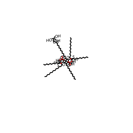 CCCCCCCCCCCCC(CC(O)=S)OC(C(CCCCCCCCCCCC)CC(O)=S)(C(CCCCCCCCCCCC)CC(O)=S)C(CO)(CO)C(OC(CCCCCCCCCCCC)CC(O)=S)(C(CCCCCCCCCCCC)CC(O)=S)C(CCCCCCCCCCCC)CC(O)=S.OCC(CO)(CO)CO